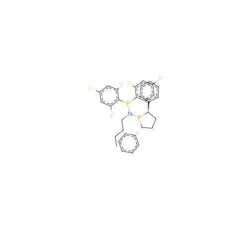 CCCCN(P(c1c(F)cc(F)cc1F)c1c(F)cc(F)cc1F)P1[C@@H](c2ccccc2)CC[C@@H]1c1ccccc1